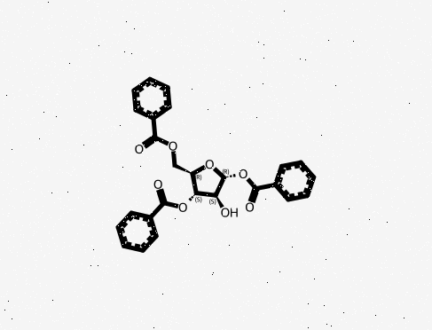 O=C(OC[C@H]1O[C@H](OC(=O)c2ccccc2)[C@@H](O)[C@@H]1OC(=O)c1ccccc1)c1ccccc1